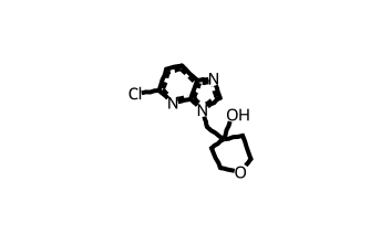 OC1(Cn2cnc3ccc(Cl)nc32)CCOCC1